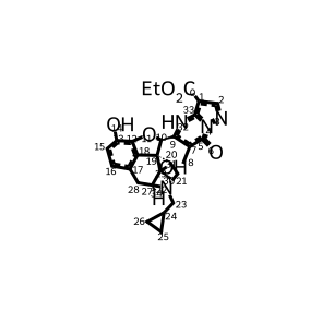 CCOC(=O)c1cnn2c(=O)c(C)c([C@@H]3Oc4c(O)ccc5c4[C@@]34CCN(CC3CC3)[C@H](C5)[C@@]4(C)O)[nH]c12